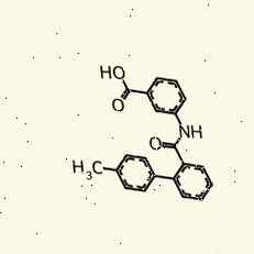 Cc1ccc(-c2ccccc2C(=O)Nc2cccc(C(=O)O)c2)cc1